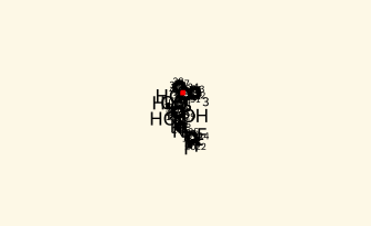 CC(C)(O)[C@@H](S[C@@H]1O[C@H](CO)[C@H](O)[C@H](n2cc(-c3cc(F)c(F)c(F)c3)nn2)[C@H]1O)c1ccccc1-c1ccccc1